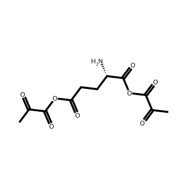 CC(=O)C(=O)OC(=O)CC[C@H](N)C(=O)OC(=O)C(C)=O